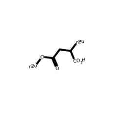 CCCCOC(=O)CC(CCCC)C(=O)O